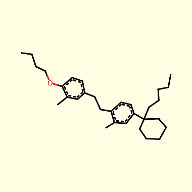 CCCCCC1(c2ccc(CCc3ccc(OCCCC)c(C)c3)c(C)c2)CCCCC1